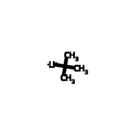 [Li-][C](C)(C)C